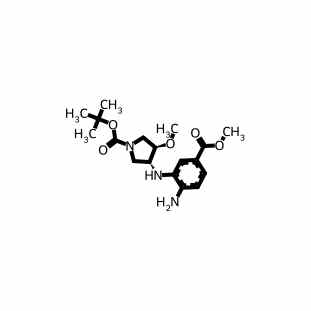 COC(=O)c1ccc(N)c(N[C@@H]2CN(C(=O)OC(C)(C)C)C[C@H]2OC)c1